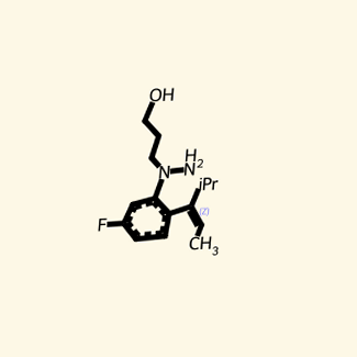 C/C=C(\c1ccc(F)cc1N(N)CCCO)C(C)C